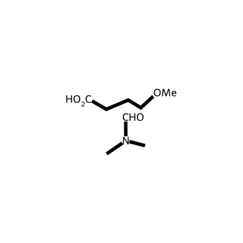 CN(C)C=O.COCCCC(=O)O